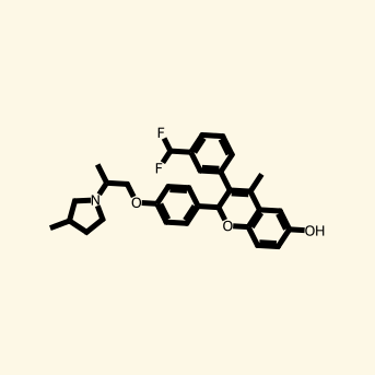 CC1=C(c2cccc(C(F)F)c2)C(c2ccc(OCC(C)N3CCC(C)C3)cc2)Oc2ccc(O)cc21